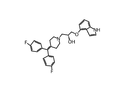 O[C@H](COc1cccc2[nH]ccc12)CN1CCC(=C(c2ccc(F)cc2)c2ccc(F)cc2)CC1